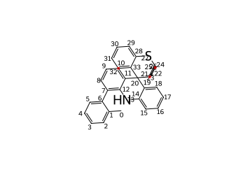 Cc1ccccc1-c1cccc2c1Nc1ccccc1C21c2ccccc2Sc2ccccc21